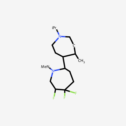 CNN1CC(F)C(F)(F)CCC1C1CCN(C(C)C)CCC1C